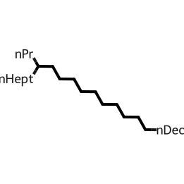 [CH2]CCC(CCCCCCC)CCCCCCCCCCCCCCCCCCCC